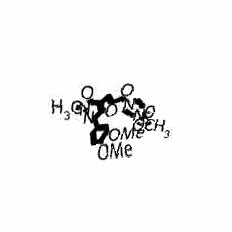 COc1ccc(-c2nn(C)c(=O)c3cc(C(=O)N4CCN(S(C)(=O)=O)CC4)oc23)cc1OC